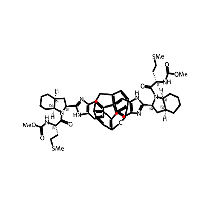 COC(=O)N[C@@H](CCSC)C(=O)N1[C@H](c2nc3cc(-c4cc5ccc4CCc4ccc(c(-c6ccc7[nH]c([C@@H]8C[C@@H]9CCCC[C@@H]9N8C(=O)[C@H](CCSC)NC(=O)OC)nc7c6)c4)CC5)ccc3[nH]2)C[C@@H]2CCCC[C@@H]21